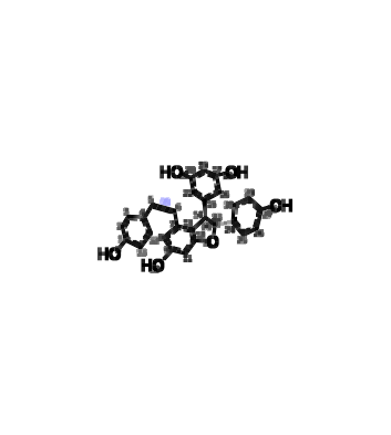 Oc1ccc(/C=C\c2cc(O)cc3c2[C@@H](c2cc(O)cc(O)c2)[C@H](c2ccc(O)cc2)O3)cc1